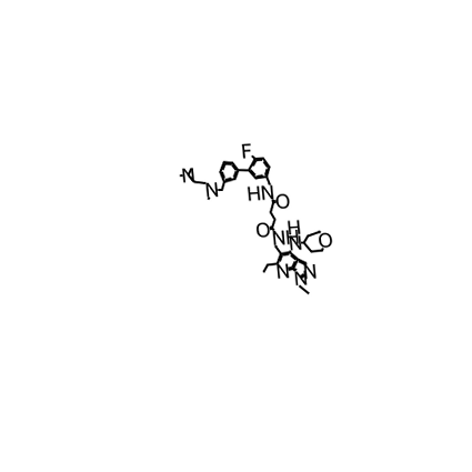 CCc1nc2c(cnn2CC)c(NC2CCOCC2)c1CNC(=O)CCC(=O)NCc1ccc(F)c(-c2cccc(CN(C)CCN(C)C)c2)c1